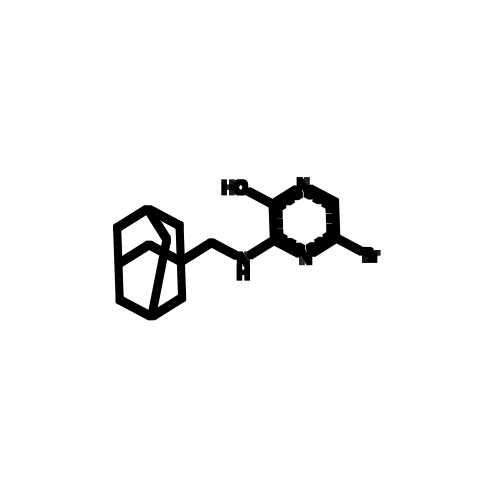 Oc1ncc(Br)nc1NCC12CC3CC(CC(C3)C1)C2